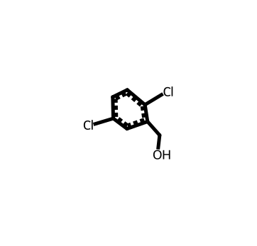 OCc1cc(Cl)ccc1Cl